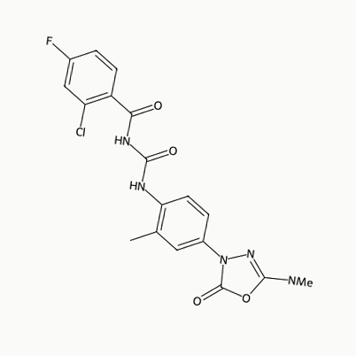 CNc1nn(-c2ccc(NC(=O)NC(=O)c3ccc(F)cc3Cl)c(C)c2)c(=O)o1